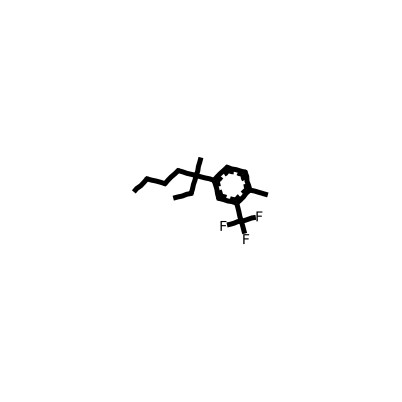 CCCCC(C)(CC)c1ccc(C)c(C(F)(F)F)c1